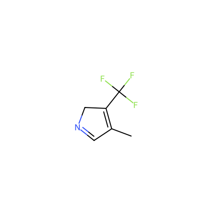 CC1=C(C(F)(F)F)CN=C1